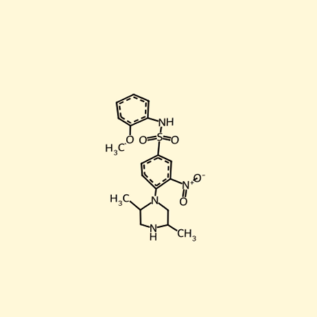 COc1ccccc1NS(=O)(=O)c1ccc(N2CC(C)NCC2C)c([N+](=O)[O-])c1